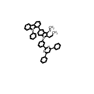 C=Nc1c(/C=C\C)n(-c2cccc(-c3nc(-c4ccccc4)cc(-c4ccccc4)n3)c2)c2ccc(-c3cccc4c5ccccc5n(-c5ccccc5)c34)cc12